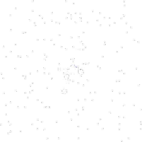 C=N/C(=C\C=C(/C)c1ccc(OCc2ccccc2)nc1OCc1ccccc1)N1CCC(CO)CC1